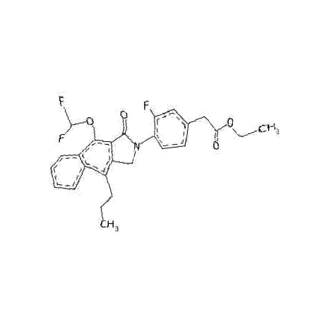 CCCc1c2c(c(OC(F)F)c3ccccc13)C(=O)N(c1ccc(CC(=O)OCC)cc1F)C2